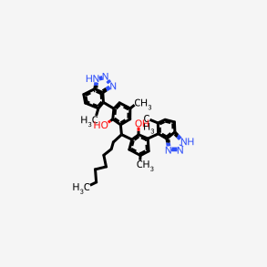 CCCCCCCC(c1cc(C)cc(-c2c(C)ccc3[nH]nnc23)c1O)c1cc(C)cc(-c2c(C)ccc3[nH]nnc23)c1O